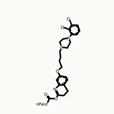 CCCCCC(=O)OC1=Nc2cc(OCCCCN3CCN(c4cccc(Cl)c4Cl)CC3)ccc2CC1